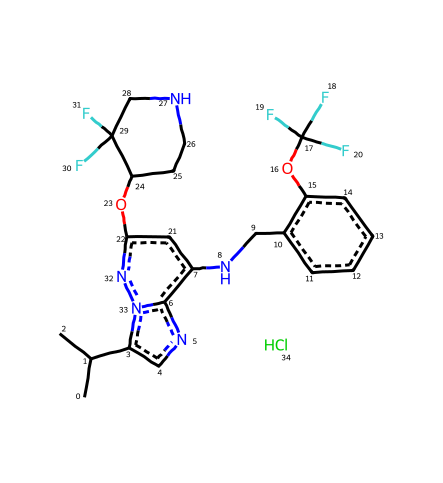 CC(C)c1cnc2c(NCc3ccccc3OC(F)(F)F)cc(OC3CCNCC3(F)F)nn12.Cl